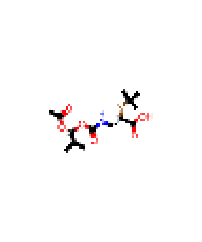 CC(=O)O[C@H](OC(=O)NC[C@H](SC(C)(C)C)C(=O)O)C(C)C